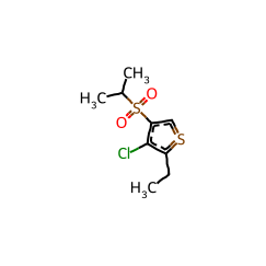 CCc1scc(S(=O)(=O)C(C)C)c1Cl